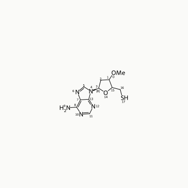 COC1C[C@H](n2cnc3c(N)ncnc32)OC1CS